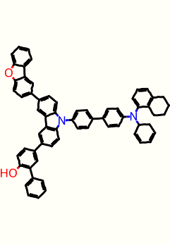 Oc1ccc(-c2ccc3c(c2)c2cc(-c4ccc5oc6ccccc6c5c4)ccc2n3-c2ccc(-c3ccc(N(c4cccc5c4CCCC5)C4C=CC=CC4)cc3)cc2)cc1-c1ccccc1